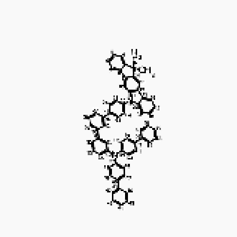 CC1(C)c2ccccc2-c2cc3c(cc21)c1ccccc1n3-c1ccc(-c2cccc(-c3cccc(N(c4ccc(-c5ccccc5)cc4)c4ccc(-c5ccccc5)cc4)c3)c2)cc1